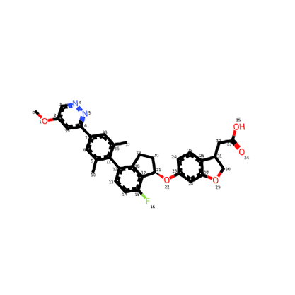 COc1cnnc(-c2cc(C)c(-c3ccc(F)c4c3CC[C@H]4Oc3ccc4c(c3)OCC4CC(=O)O)c(C)c2)c1